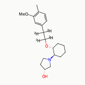 [2H]C([2H])(O[C@@H]1CCCC[C@H]1N1CC[C@@H](O)C1)C([2H])([2H])c1ccc(C)c(OC)c1